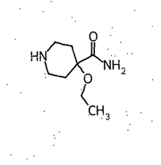 CCOC1(C(N)=O)CCNCC1